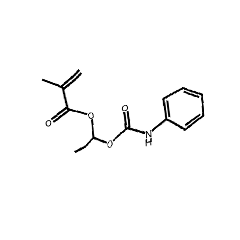 C=C(C)C(=O)OC(C)OC(=O)Nc1ccccc1